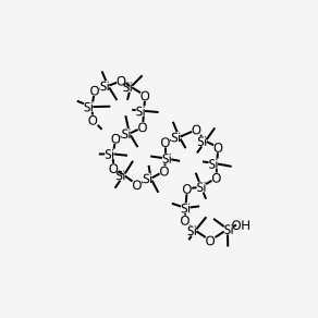 CO[Si](C)(C)O[Si](C)(C)O[Si](C)(C)O[Si](C)(C)O[Si](C)(C)O[Si](C)(C)O[Si](C)(C)O[Si](C)(C)O[Si](C)(C)O[Si](C)(C)O[Si](C)(C)O[Si](C)(C)O[Si](C)(C)O[Si](C)(C)O[Si](C)(C)O[Si](C)(C)O